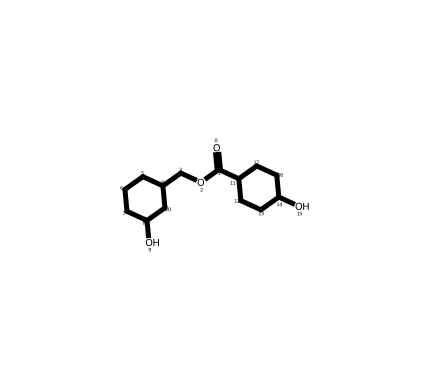 O=C(OCC1CCCC(O)C1)C1CCC(O)CC1